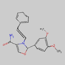 COc1ccc(C2OC=C(C(N)=O)N2C=Cc2ccccc2)cc1OC